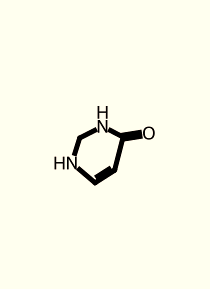 O=C1C=CNCN1